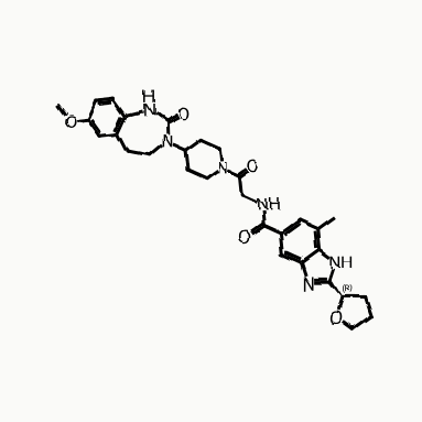 COc1ccc2c(c1)CCN(C1CCN(C(=O)CNC(=O)c3cc(C)c4[nH]c([C@H]5CCCO5)nc4c3)CC1)C(=O)N2